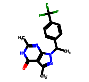 [CH2]c1nn(C(C)c2ccc(C(F)(F)F)cc2)c2nc(C)[nH]c(=O)c12